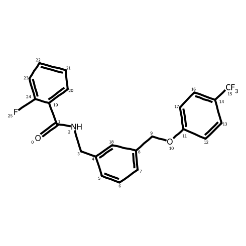 O=C(NCc1cccc(COc2ccc(C(F)(F)F)cc2)c1)c1ccccc1F